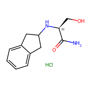 Cl.NC(=O)[C@H](CO)NC1Cc2ccccc2C1